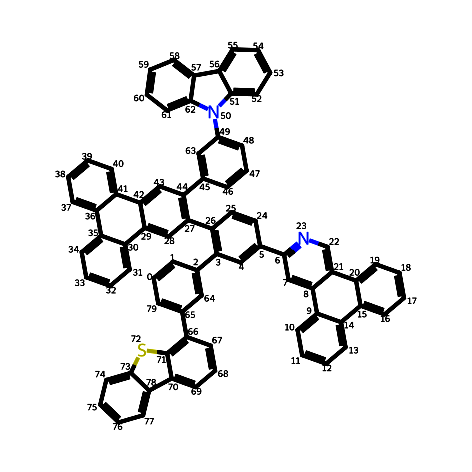 c1cc(-c2cc(-c3cc4c5ccccc5c5ccccc5c4cn3)ccc2-c2cc3c4ccccc4c4ccccc4c3cc2-c2cccc(-n3c4ccccc4c4ccccc43)c2)cc(-c2cccc3c2sc2ccccc23)c1